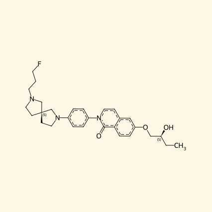 CC[C@H](O)COc1ccc2c(=O)n(-c3ccc(N4CC[C@]5(CCN(CCCF)C5)C4)cc3)ccc2c1